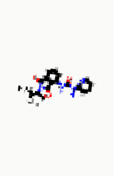 CC(C)C1COC2c3c(NC(=O)Nc4ccccn4)cccc3C(=O)N21